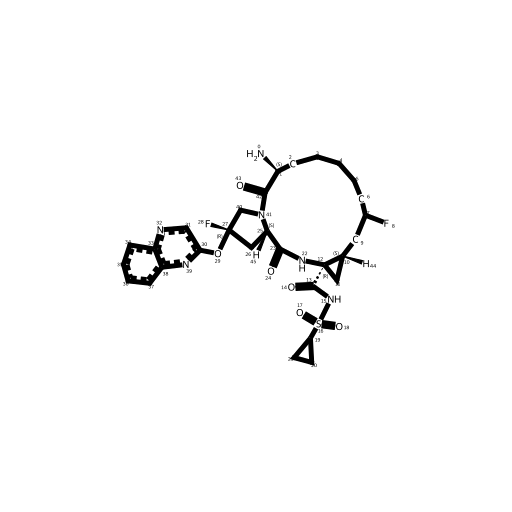 N[C@H]1CCCCCC(F)C[C@@H]2C[C@@]2(C(=O)NS(=O)(=O)C2CC2)NC(=O)[C@@H]2C[C@](F)(Oc3cnc4ccccc4n3)CN2C1=O